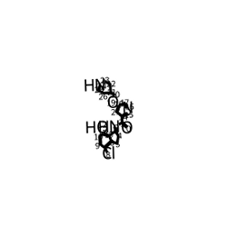 O=C(NC1CCc2c(Cl)ccc(O)c21)c1cncc(OCC2CCNCC2)c1